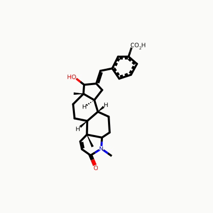 CN1C(=O)C=C[C@@]2(C)C1CC[C@@H]1[C@H]2CC[C@]2(C)C(O)C(=Cc3cccc(C(=O)O)c3)C[C@@H]12